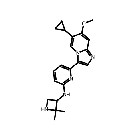 COc1cc2ncc(-c3cccc(NC4CNC4(C)C)n3)n2cc1C1CC1